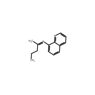 C[CH]CC(C)=Nc1cccc2cccnc12